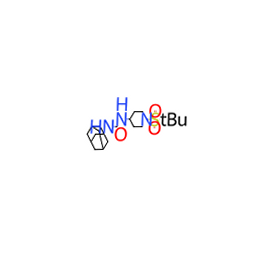 CC(C)(C)S(=O)(=O)N1CCC(NC(=O)NC23CC4CC(CC(C4)C2)C3)CC1